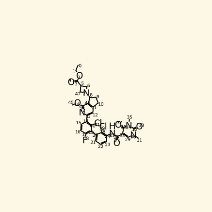 CCOC(=O)C1CN(C2CCc3cc(-c4ccc(F)c(-c5cccc(NC(=O)c6cn(C)c(=O)n(C)c6=O)c5Cl)c4Cl)nc(OC)c32)C1